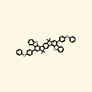 CC1(C)c2cc3c(cc2-c2c1cc(-c1ccc(Oc4ccccc4)cc1)c1c2oc2ccccc21)C(C)(C)c1cc(-c2ccc(Oc4ccccc4)cc2)c2c(oc4ccccc42)c1-3